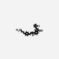 CCCCCc1ccc(/C=C/C(=O)Nc2cccc3c(O)cc(-c4nnn[nH]4)nc23)cc1